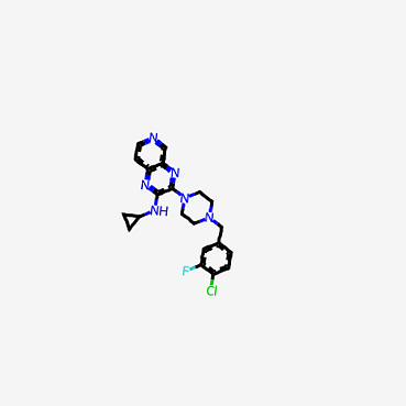 Fc1cc(CN2CCN(c3nc4cnccc4nc3NC3CC3)CC2)ccc1Cl